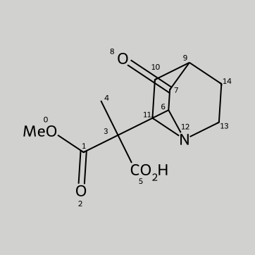 COC(=O)C(C)(C(=O)O)C1C(=O)C2CCN1CC2